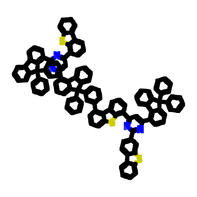 c1ccc(C2(c3ccccc3)c3ccccc3-c3c(-c4cc(-c5cccc6c5sc5cccc(-c7cccc(C8(c9ccccc9)c9ccccc9-c9c(-c%10cc(-c%11cccc%12c%11sc%11ccccc%11%12)nc(-c%11cccc%12c%11C(c%11ccccc%11)(c%11ccccc%11)c%11ccccc%11-%12)n%10)cccc98)c7)c56)nc(-c5ccc6c(c5)sc5ccccc56)n4)cccc32)cc1